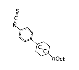 CCCCCCCCC12CCC(c3ccc(N=C=S)cc3)(CC1)CC2